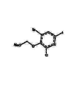 COCOc1c(Br)cc(I)nc1Cl